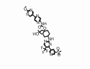 COc1ncc(-c2cnc(NC(=O)OC3(CC(C)(C)O)CCC(Nc4ncc(C(F)(F)F)c(-c5cncc(S(C)(=O)=O)c5)n4)CC3)cn2)cn1